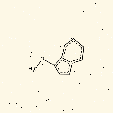 COc1ccn2ccccc12